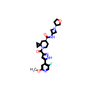 COc1cc(-c2cc(C(=O)N3CC[C@H](C(=O)NC4CN([C@@H]5CCOC5)C4)CC34CC4)n[nH]2)c(F)cn1